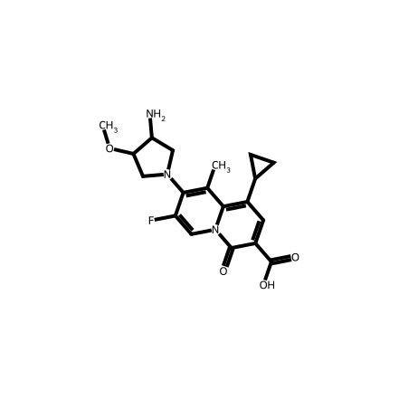 COC1CN(c2c(F)cn3c(=O)c(C(=O)O)cc(C4CC4)c3c2C)CC1N